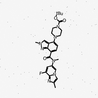 Cc1cn2cc(N(C)C(=O)c3ccc(N4CCN(C(=O)OC(C)(C)C)CC4)c4cn(C)nc34)cc(F)c2n1